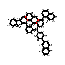 c1cc(-c2cccc3c2sc2ccccc23)c(-c2cccc3ccccc23)c(N(c2ccc(-c3ccc4ccccc4c3)cc2)c2ccc(-c3cccc4ccccc34)cc2)c1